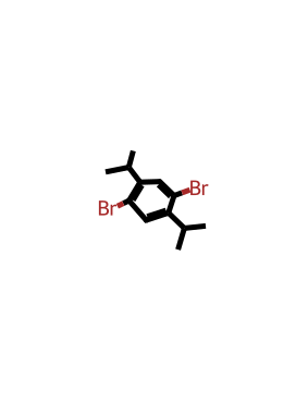 CC(C)c1cc(Br)c(C(C)C)cc1Br